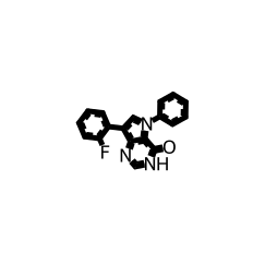 O=c1[nH]cnc2c(-c3ccccc3F)cn(-c3ccccc3)c12